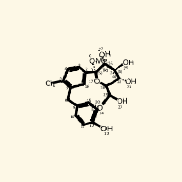 CO[C@@]1(c2ccc(Cl)c(Cc3ccc(O)cc3)c2)OC(C(O)O)[C@@H](O)[C@H](O)[C@H]1O